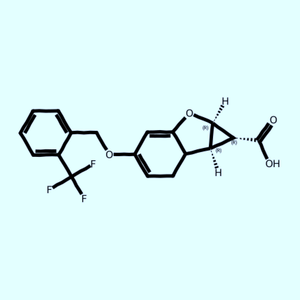 O=C(O)[C@H]1[C@@H]2OC3=CC(OCc4ccccc4C(F)(F)F)=CCC3[C@@H]21